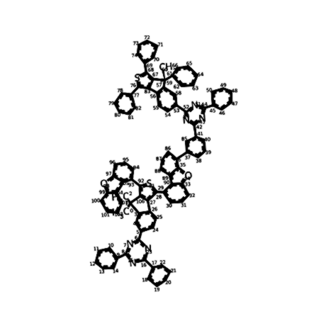 CC1(C)c2cc(-c3nc(-c4ccccc4)nc(-c4ccccc4)n3)ccc2-c2c(-c3cccc4oc5c(-c6cccc(-c7nc(-c8ccccc8)nc(-c8ccc9c(c8)[C@@](C)(c8ccccc8)c8c(-c%10ccccc%10)sc(-c%10ccccc%10)c8-9)n7)c6)cccc5c34)sc(-c3cccc4oc5ccccc5c34)c21